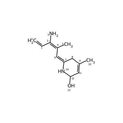 C=C/C(N)=C(C)\C=C1/CC(C)=CC(O)N1